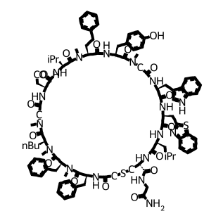 CCCC[C@H]1C(=O)N(C)CC(=O)N[C@@H](CC(=O)O)C(=O)N[C@@H](C(C)C)C(=O)N(C)[C@@H](CCc2ccccc2)C(=O)N[C@@H](Cc2ccc(O)cc2)C(=O)N(C)CC(=O)N[C@@H](Cc2c[nH]c3ccccc23)C(=O)N[C@@H](Cc2nc3ccccc3s2)C(=O)N[C@@H](CC(C)C)C(=O)N[C@H](C(=O)NCC(N)=O)CSCC(=O)N[C@@H](Cc2ccccc2)C(=O)N(C)[C@@H](Cc2ccccc2)C(=O)N1C